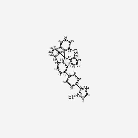 CCn1ccnc1-c1ccc(-c2ccc3c(c2)C2(c4ccccc4Oc4ccccc42)c2ccccc2-3)cc1